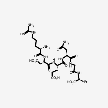 CC(C)[C@H](NC(=O)CNC(=O)[C@H](CC(N)=O)NC(=O)[C@H](CCC(=O)O)NC(=O)[C@H](CC(=O)O)NC(=O)[C@@H](N)CCCNC(=N)N)C(=O)O